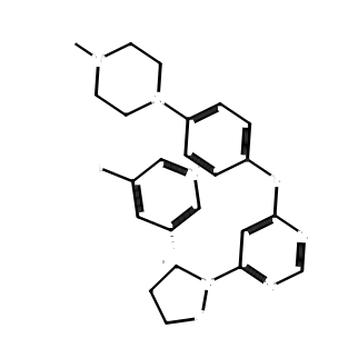 CN1CCN(c2ccc(Nc3cc(N4OCC[C@@H]4c4cncc(Cl)c4)ncn3)cc2)CC1